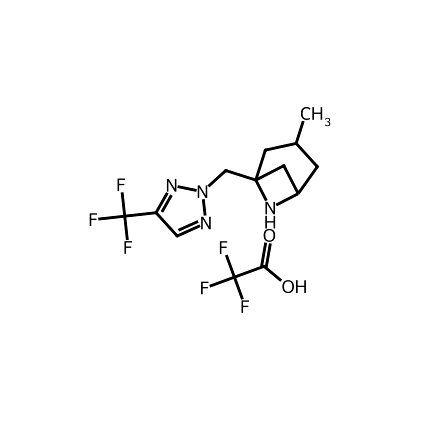 CC1CC2CC(Cn3ncc(C(F)(F)F)n3)(C1)N2.O=C(O)C(F)(F)F